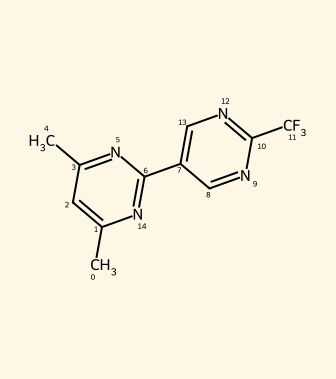 Cc1cc(C)nc(-c2cnc(C(F)(F)F)nc2)n1